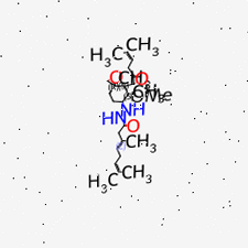 CO[C@@H]1C(NNC(=O)C/C(C)=C/CC=C(C)C)CC[C@]2(CO2)[C@@]1(C)C1(C)OC1CC=C(C)C